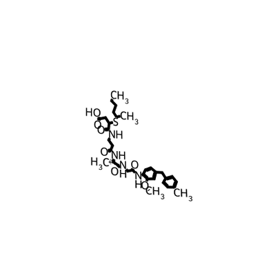 CCCCC(C)SC(CC(=O)O)C(=O)NCCC(=O)N[C@@H](C)C(=O)NCC(=O)Nc1ccc(Cc2ccc(C)cc2)cc1OC